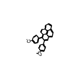 COc1ccc(-c2cc3ccc4cccc5ccc(c2-c2ccc(OC)cc2)c3c45)cc1